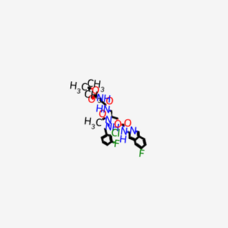 CC(=O)N(NCc1cccc(F)c1Cl)[C@@H](CNC(=O)CNC(=O)OC(C)(C)C)COC(=O)Nc1cc2cc(F)ccc2cn1